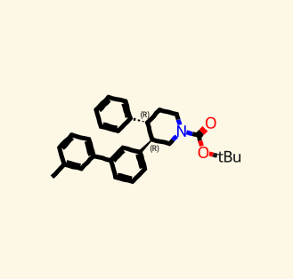 Cc1cccc(-c2cccc([C@@H]3CN(C(=O)OC(C)(C)C)CC[C@H]3c3ccccc3)c2)c1